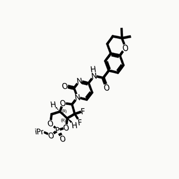 CC(C)OP1(=O)OC[C@H]2OC(n3ccc(NC(=O)c4ccc5c(c4)CCC(C)(C)O5)nc3=O)C(F)(F)[C@@H]2O1